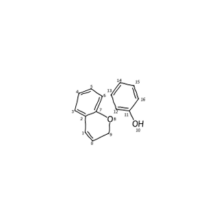 C1=Cc2ccccc2OC1.Oc1ccccc1